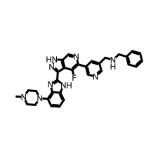 CN1CCN(c2cccc3[nH]c(-c4n[nH]c5cnc(-c6cncc(CNCc7ccccc7)c6)c(F)c45)nc23)CC1